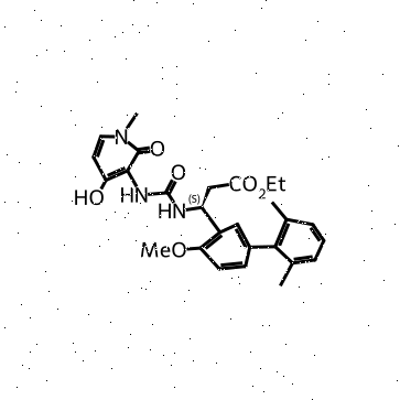 CCOC(=O)C[C@H](NC(=O)Nc1c(O)ccn(C)c1=O)c1cc(-c2c(C)cccc2C)ccc1OC